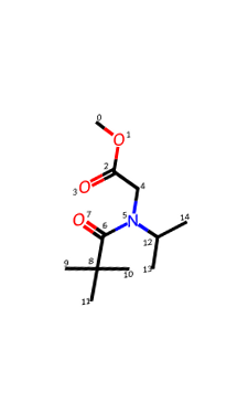 COC(=O)CN(C(=O)C(C)(C)C)C(C)C